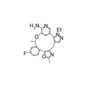 CCn1ncc2c1-c1cnc(N)c(c1)OC(C)c1cc(F)ccc1-c1oc(C)nc1C2